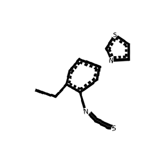 CCc1ccccc1N=C=S.c1cscn1